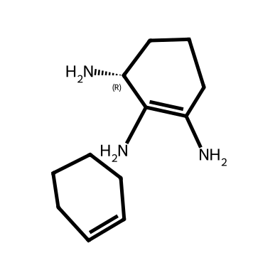 C1=CCCCC1.NC1=C(N)[C@H](N)CCC1